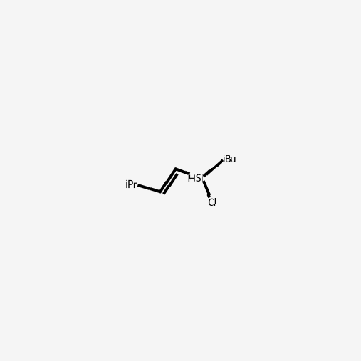 CCC(C)[SiH](Cl)C=CC(C)C